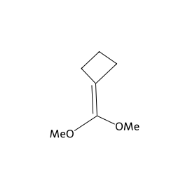 COC(OC)=C1CCC1